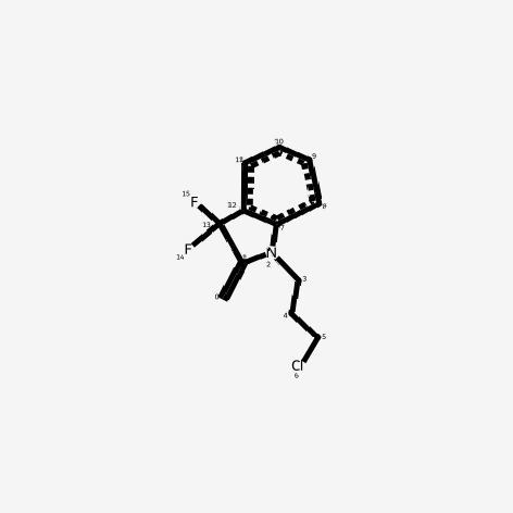 C=C1N(CCCCl)c2ccccc2C1(F)F